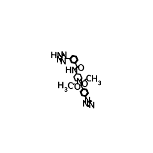 CCOC(OCC)(c1ccc(-n2cncn2)cc1)N1CCC(NC(=O)c2cccc(-c3nn[nH]n3)c2)CC1